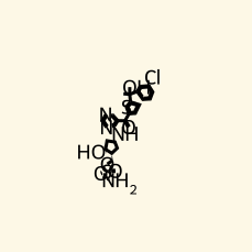 CC(O)(c1cccc(Cl)c1)c1ccc(C(=O)c2cncnc2N[C@@H]2C[C@H](COS(N)(=O)=O)[C@@H](O)C2)s1